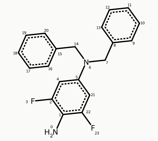 Nc1c(F)cc(N(Cc2ccccc2)Cc2ccccc2)cc1F